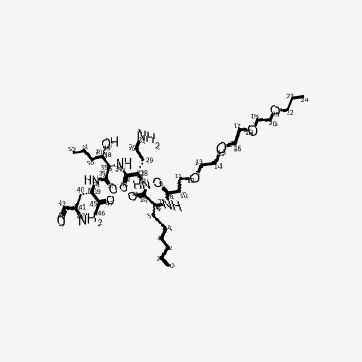 CCCCCC[C@H](NC(=O)CCOCCOCCOCCOCCC)C(=O)N[C@@H](CCN)C(=O)N[C@H](C(=O)N[C@@H](CC(N)C=O)C(C)=O)[C@H](O)CCC